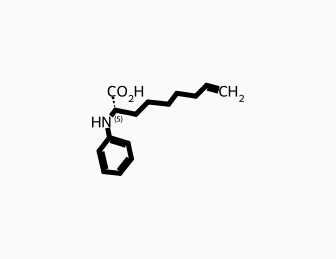 C=CCCCCC[C@H](Nc1ccccc1)C(=O)O